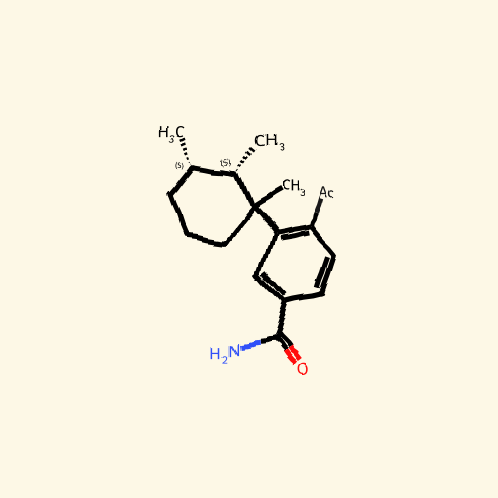 CC(=O)c1ccc(C(N)=O)cc1C1(C)CCC[C@H](C)[C@@H]1C